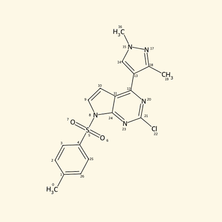 Cc1ccc(S(=O)(=O)n2ccc3c(-c4cn(C)nc4C)nc(Cl)nc32)cc1